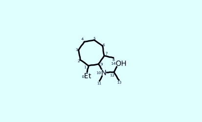 CCC1CCCCCC(C)C1N(C)C(C)O